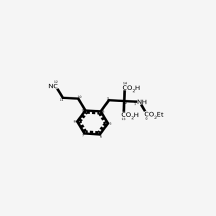 CCOC(=O)NC(Cc1ccccc1CCC#N)(C(=O)O)C(=O)O